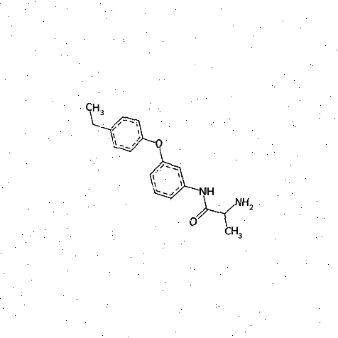 CCc1ccc(Oc2cccc(NC(=O)C(C)N)c2)cc1